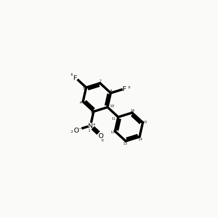 O=[N+]([O-])c1cc(F)cc(F)c1-c1ccccc1